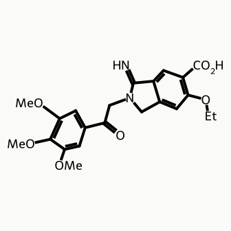 CCOc1cc2c(cc1C(=O)O)C(=N)N(CC(=O)c1cc(OC)c(OC)c(OC)c1)C2